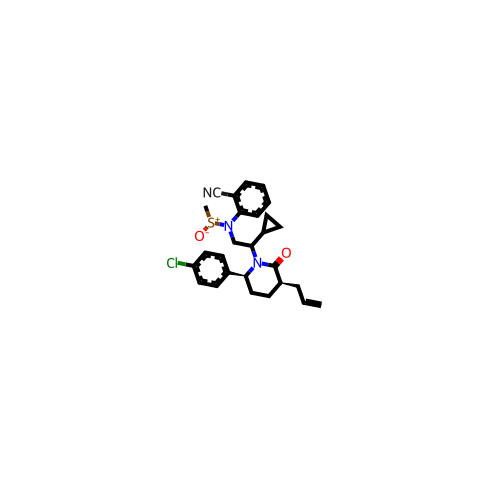 C=CC[C@H]1CC[C@@H](c2ccc(Cl)cc2)N(C(CN(c2ccccc2C#N)[S+](C)[O-])C2CC2)C1=O